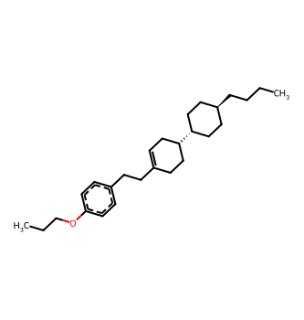 CCCC[C@H]1CC[C@H](C2CC=C(CCc3ccc(OCCC)cc3)CC2)CC1